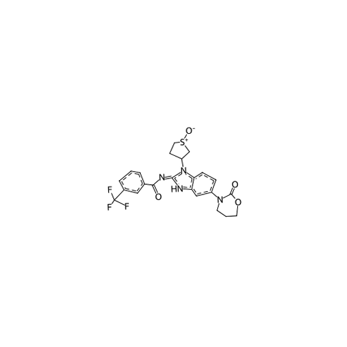 O=C(/N=c1\[nH]c2cc(N3CCCOC3=O)ccc2n1C1CC[S+]([O-])C1)c1cccc(C(F)(F)F)c1